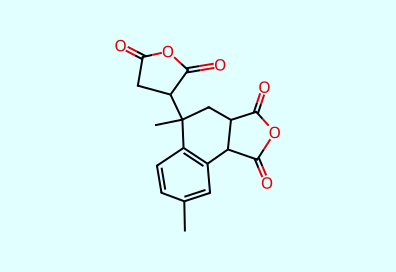 Cc1ccc2c(c1)C1C(=O)OC(=O)C1CC2(C)C1CC(=O)OC1=O